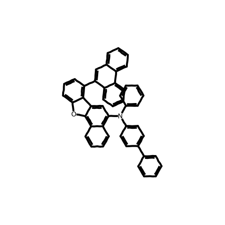 c1ccc(-c2ccc(N(c3ccccc3)c3cc4c(oc5cccc(-c6cc7ccccc7c7ccccc67)c54)c4ccccc34)cc2)cc1